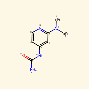 CCCN(CCC)c1cc(NC(N)=O)ccn1